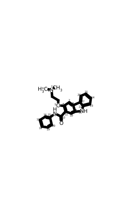 CN(C)CCOc1cc2c(cc1C(=O)Nc1ccccc1)[nH]c1ccccc12